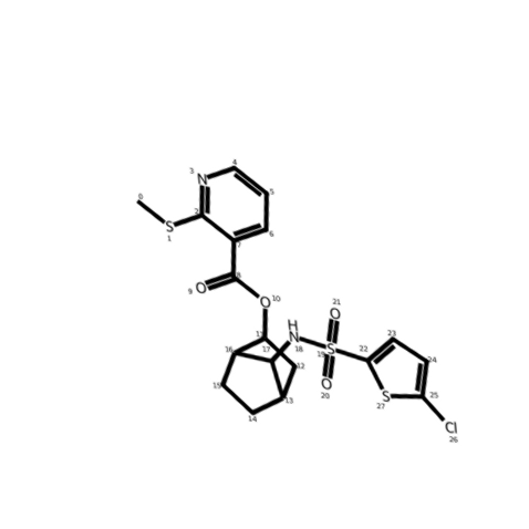 CSc1ncccc1C(=O)OC1CC2CCC1C2NS(=O)(=O)c1ccc(Cl)s1